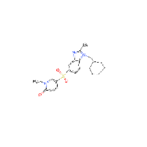 Cn1cc(S(=O)(=O)c2ccc3c(c2)nc(C(C)(C)C)n3CC2CCCCC2)ccc1=O